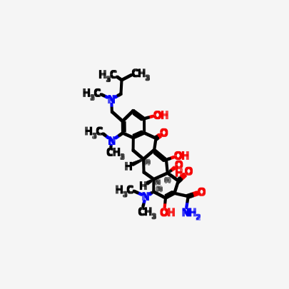 CC(C)CN(C)Cc1cc(O)c2c(c1N(C)C)C[C@H]1C[C@H]3[C@H](N(C)C)C(O)=C(C(N)=O)C(=O)[C@@]3(O)C(O)=C1C2=O